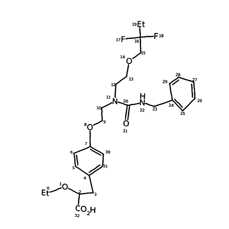 CCOC(Cc1ccc(OCCN(CCOCC(F)(F)CC)C(=O)NCc2ccccc2)cc1)C(=O)O